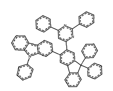 c1ccc(-c2cc(-c3cc4c(cc3-c3ccc5c6ccccc6n(-c6ccccc6)c5c3)-c3ccccc3C4(c3ccccc3)c3ccccc3)nc(-c3ccccc3)n2)cc1